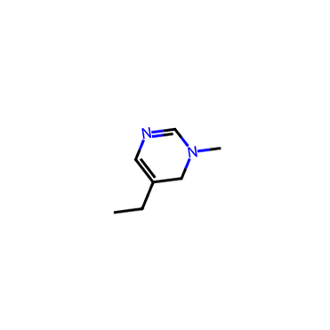 CCC1=CN=CN(C)C1